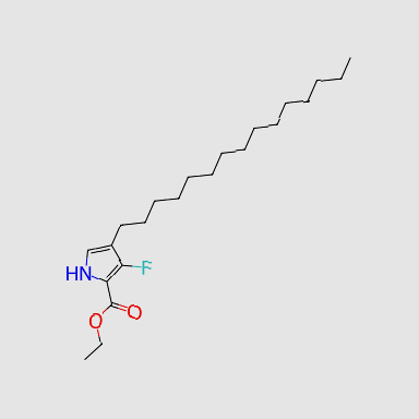 CCCCCCCCCCCCCCCc1c[nH]c(C(=O)OCC)c1F